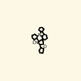 N#Cc1cccc(-n2c3ccccc3c3ccccc32)c1-c1ccc2oc3ccccc3c2c1